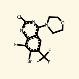 Fc1c(Br)c(C(F)(F)F)cc2c(N3CCOCC3)nc(Cl)nc12